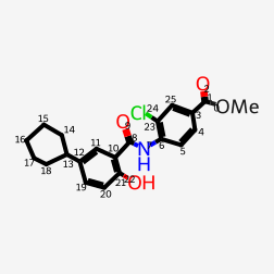 COC(=O)c1ccc(NC(=O)c2cc(C3CCCCC3)ccc2O)c(Cl)c1